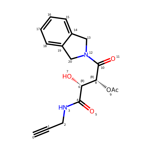 C#CCNC(=O)[C@H](O)[C@@H](OC(C)=O)C(=O)N1Cc2ccccc2C1